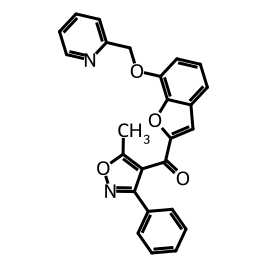 Cc1onc(-c2ccccc2)c1C(=O)c1cc2cccc(OCc3ccccn3)c2o1